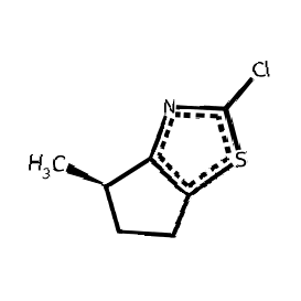 C[C@@H]1CCc2sc(Cl)nc21